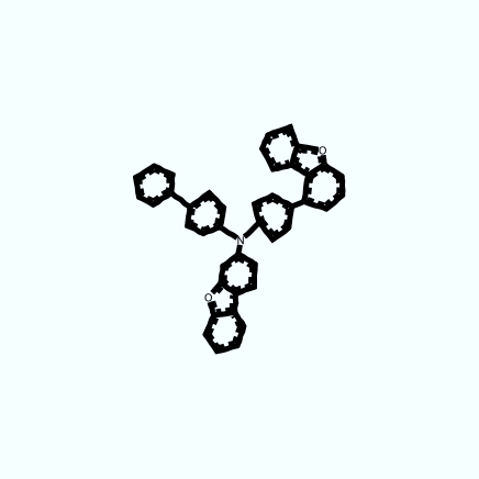 c1ccc(-c2ccc(N(c3ccc(-c4cccc5oc6ccccc6c45)cc3)c3ccc4c(c3)oc3ccccc34)cc2)cc1